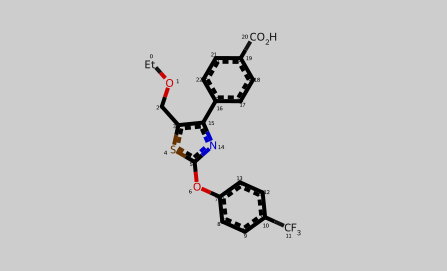 CCOCc1sc(Oc2ccc(C(F)(F)F)cc2)nc1-c1ccc(C(=O)O)cc1